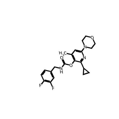 Cc1cc(N2CCOCC2)nc(C2CC2)c1OC(=O)NCc1ccc(F)c(F)c1